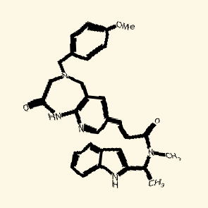 COc1ccc(CN2CC(=O)Nc3ncc(/C=C/C(=O)N(C)C(C)c4cc5ccccc5[nH]4)cc3C2)cc1